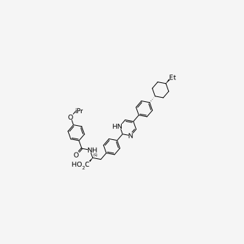 CC[C@H]1CC[C@H](c2ccc(C3=CNC(c4ccc(C[C@H](NC(=O)c5ccc(OC(C)C)cc5)C(=O)O)cc4)N=C3)cc2)CC1